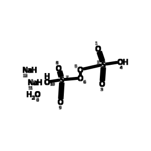 O.O=S(=O)(O)OOS(=O)(=O)O.[NaH].[NaH]